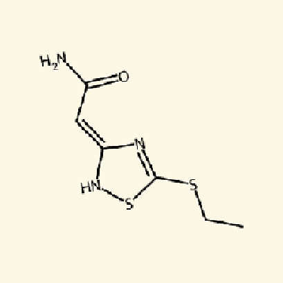 CCSC1=NC(=CC(N)=O)NS1